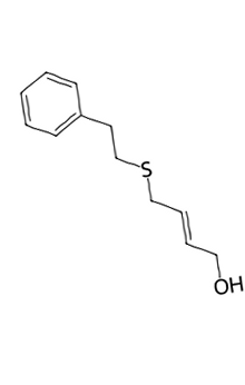 OC/C=C/CSCCc1ccccc1